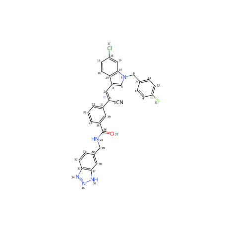 N#C/C(=C\c1cn(Cc2ccc(F)cc2)c2cc(Cl)ccc12)c1cccc(C(=O)NCc2ccc3nn[nH]c3c2)c1